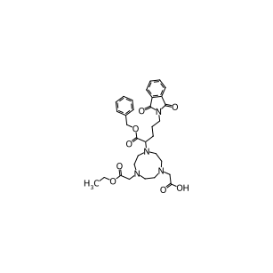 CCOC(=O)CN1CCN(CC(=O)O)CCN(C(CCCN2C(=O)c3ccccc3C2=O)C(=O)OCc2ccccc2)CC1